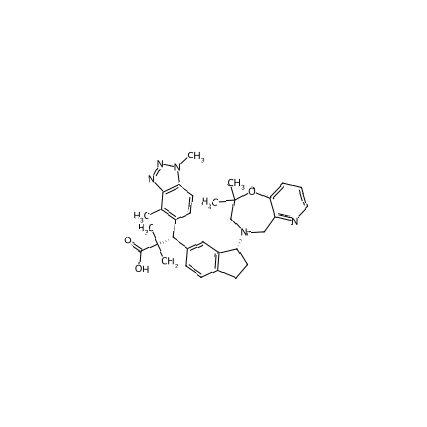 Cc1c([C@H](c2ccc3c(c2)[C@H](N2Cc4ncccc4OC(C)(C)C2)CC3)C(C)(C)C(=O)O)ccc2c1nnn2C